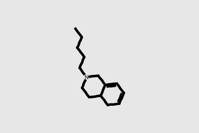 CCCCCN1CCC2CC=CC=C2C1